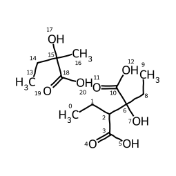 CCC(C(=O)O)C(O)(CC)C(=O)O.CCC(C)(O)C(=O)O